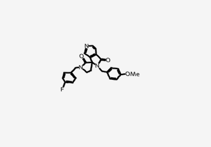 COc1ccc(CN2C(=O)c3ccncc3C23CCN(Cc2ccc(F)cc2)C3=O)cc1